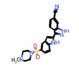 CN1CCN(S(=O)(=O)c2ccc3[nH]c(-c4n[nH]c5cc(C#N)ccc45)cc3c2)CC1